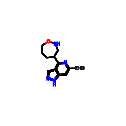 O=Cc1cc2[nH]ncc2c(C2CCCONC2)n1